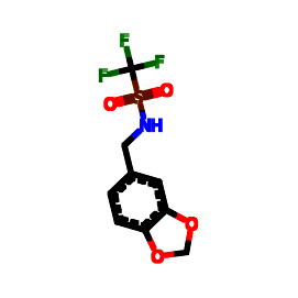 O=S(=O)(NCc1ccc2c(c1)OCO2)C(F)(F)F